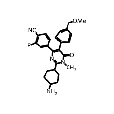 COCc1ccc(-c2c(-c3ccc(C#N)c(F)c3)nc(C3CCC(N)CC3)n(C)c2=O)cc1